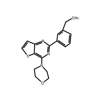 CC(=O)OCc1cccc(-c2nc(N3CCOCC3)c3sccc3n2)c1